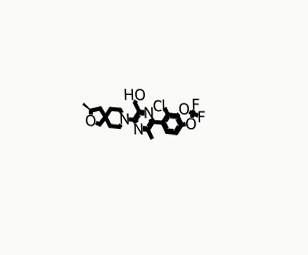 Cc1nc(N2CCC3(CC2)CO[C@@H](C)C3)c(CO)nc1-c1ccc2c(c1Cl)OC(F)(F)O2